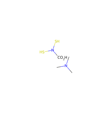 CN(C)C.O=C(O)N(S)S